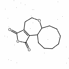 O=C1OC(=O)C2=C1CCOC1CCCCCCCC21